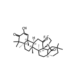 CC1(C)CC[C@]23CC[C@@]4(C)[C@]5(C)CC[C@@]6(C)C(C)(C)C(=O)C(C#N)=C[C@]6(C)[C@H]5CC(=O)[C@@]4(C2C1)N(CC(F)(F)F)C3=O